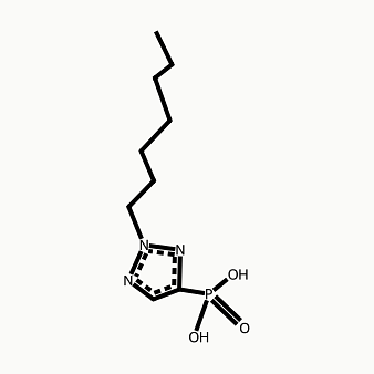 CCCCCCCn1ncc(P(=O)(O)O)n1